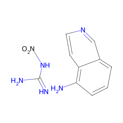 N=C(N)N[N+](=O)[O-].Nc1cccc2cnccc12